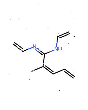 C=C/C=C(C)\C(=N/C=C)NC=C